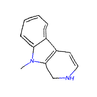 Cn1c2c(c3ccccc31)C=CNC2